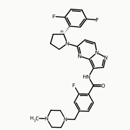 CN1CCN(Cc2ccc(C(=O)Nc3cnn4ccc(N5CCC[C@@H]5c5cc(F)ccc5F)nc34)c(F)c2)CC1